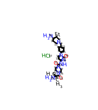 CC[C@@H]1CN(Cc2ccc(-n3ccc(NC(=O)N4CCN(C(=O)C(C)(C)N)CC4)nc3=O)cc2)CC[C@H]1N.Cl